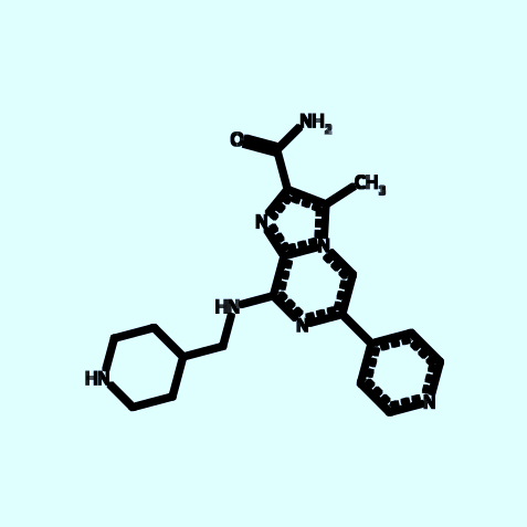 Cc1c(C(N)=O)nc2c(NCC3CCNCC3)nc(-c3ccncc3)cn12